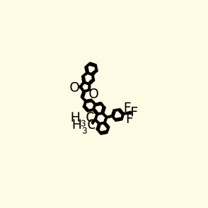 CC1(C)c2ccccc2C(c2ccc(C(F)(F)F)cc2)c2ccc3cc(C=C4C(=O)c5cc6ccccc6cc5C4=O)ccc3c21